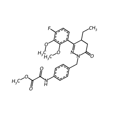 CCC1CC(=O)N(Cc2ccc(NC(=O)C(=O)OC)cc2)N=C1c1ccc(F)c(OC)c1OC